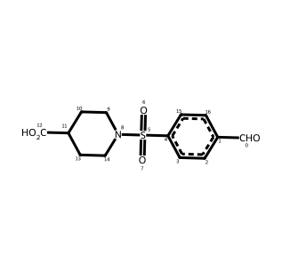 O=Cc1ccc(S(=O)(=O)N2CCC(C(=O)O)CC2)cc1